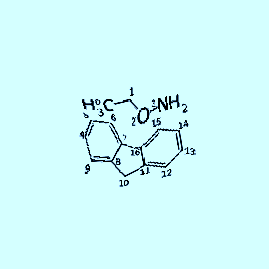 CCON.c1ccc2c(c1)Cc1ccccc1-2